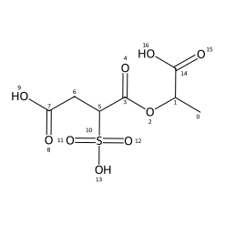 CC(OC(=O)C(CC(=O)O)S(=O)(=O)O)C(=O)O